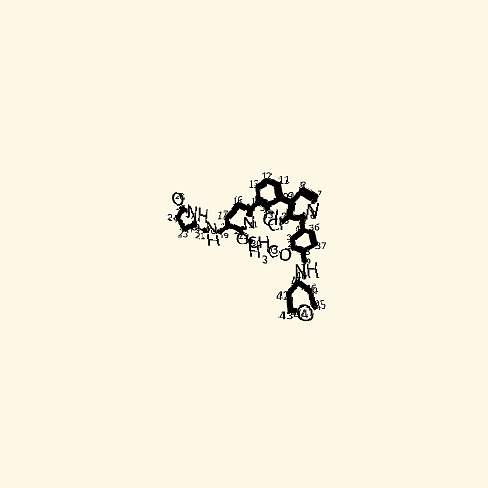 COc1cc(-c2nccc(-c3cccc(-c4ccc(CNC[C@@H]5CCC(=O)N5)c(OC)n4)c3Cl)c2Cl)ccc1CNC1CCOCC1